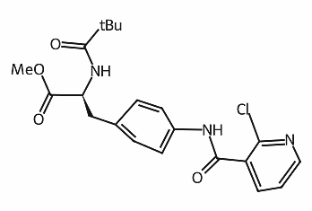 COC(=O)[C@H](Cc1ccc(NC(=O)c2cccnc2Cl)cc1)NC(=O)C(C)(C)C